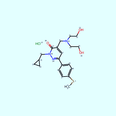 CSc1ccc(-c2cc(CN(CCO)CCO)c(=O)n(CC3CC3)n2)cc1.Cl